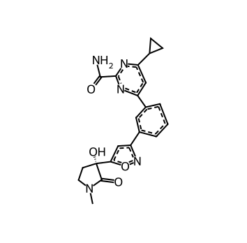 CN1CC[C@@](O)(c2cc(-c3cccc(-c4cc(C5CC5)nc(C(N)=O)n4)c3)no2)C1=O